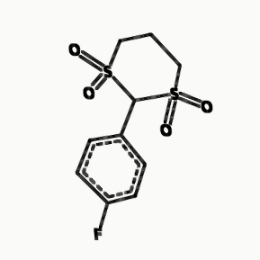 O=S1(=O)CCCS(=O)(=O)C1c1ccc(F)cc1